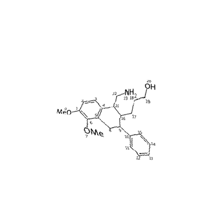 COc1ccc2c(c1OC)CC(c1ccccc1)C(CCCO)C2CN